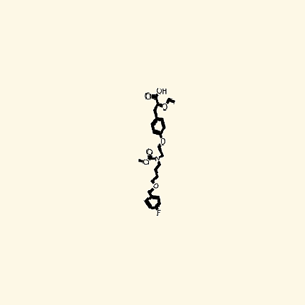 CCOC(Cc1ccc(OCCN(CCCCOCc2ccc(F)cc2)C(=O)OC)cc1)C(=O)O